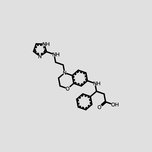 O=C(O)CC(Nc1ccc2c(c1)OCCN2CCNc1ncc[nH]1)c1ccccc1